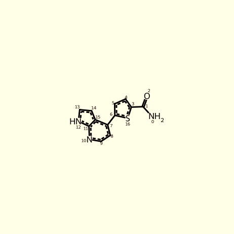 NC(=O)c1ccc(-c2ccnc3[nH]ccc23)s1